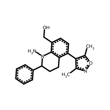 Cc1noc(C)c1-c1ccc(CO)c2c1CCC(c1ccccc1)N2N